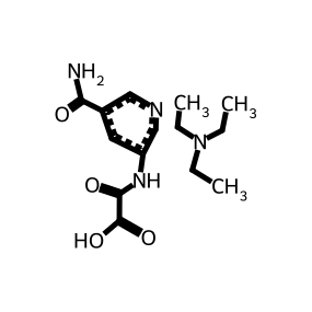 CCN(CC)CC.NC(=O)c1cncc(NC(=O)C(=O)O)c1